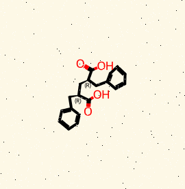 O=C(O)[C@@H](Cc1ccccc1)C[C@H](Cc1ccccc1)C(=O)O